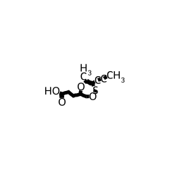 CCCC1=C(C)OC(CCC(=O)O)COS1